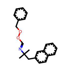 CC(C)(Cc1ccc2ccccc2c1)N=COOCc1ccccc1